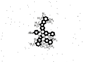 Cc1cc2c(cc1N1c3c(sc4cc5c(cc34)C(C)(C)CCC5(C)C)B3c4c(cc5c(oc6ccccc65)c41)-c1cc4c(cc1N3c1ccc(C(C)(C)C)cc1)C(C)(C)c1cc3c(cc1-4)C(C)(C)CCC3(C)C)C(C)(C)CCC2(C)C